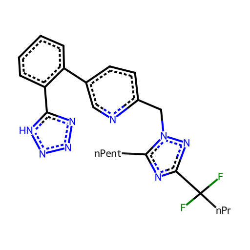 CCCCCc1nc(C(F)(F)CCC)nn1Cc1ccc(-c2ccccc2-c2nnn[nH]2)cn1